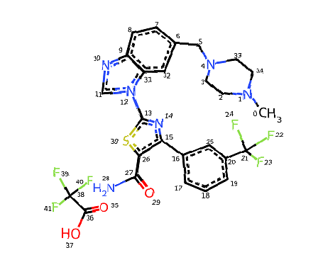 CN1CCN(Cc2ccc3ncn(-c4nc(-c5cccc(C(F)(F)F)c5)c(C(N)=O)s4)c3c2)CC1.O=C(O)C(F)(F)F